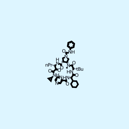 CCC[C@H](NC(=O)[C@@H]1CN(C(=O)Nc2ccccc2)C[C@@H]1N(C)C(=O)[C@@H](NC(=O)[C@@H](NC(=O)c1cnccn1)C1CCCCC1)C(C)(C)C)C(=O)C(=O)NC1CC1